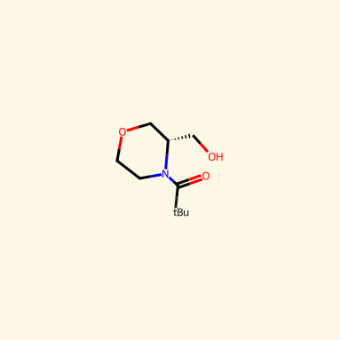 CC(C)(C)C(=O)N1CCOC[C@@H]1CO